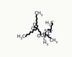 CCCCC(CC)[CH2][Sn+2][CH2]C(CC)CCCC.CCCCCCCCC(CCCCCCCC)(CCCC(=O)[O-])C(=O)[O-]